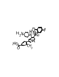 Cc1cc(C(=O)O)ccc1-c1cc2c(N[C@H]3CC[C@H](N)CC3)c(/C(N)=N/c3cc(F)ccc3Cl)cnn2c1